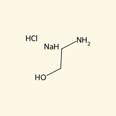 Cl.NCCO.[NaH]